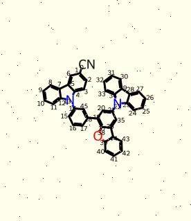 N#Cc1ccc2c(c1)c1ccccc1n2-c1cccc(-c2cc(-n3c4ccccc4c4ccccc43)cc3c2OC2C=CC=CC32)c1